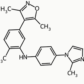 Cc1ccc(-c2c(C)noc2C)cc1Nc1ccc(-n2ccnc2C)cc1